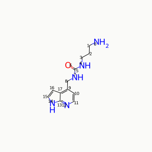 NCCCNC(=O)NCc1ccnc2[nH]ccc12